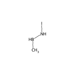 CBNI